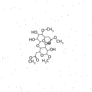 COC(=O)CC1OC(OC2C(CC(=O)OC)OC(OC)C(O)C2O)C(O)C(O)C1OC